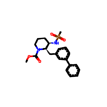 COC(=O)N1CCC[C@H](NS(C)(=O)=O)[C@@H]1Cc1cccc(-c2ccccc2)c1